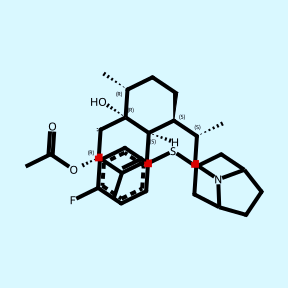 CC(=O)O[C@@H]1[C][C@@]2(O)[C@H](C)CC[C@@H]([C@H](C)CN3C4CCC3CC(Sc3ccc(F)cc3)C4)[C@H]2C=C1C